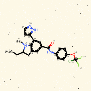 CNCC1Cc2cc(C(=O)Nc3ccc(OC(F)(F)Cl)cc3)cc(-c3ccn[nH]3)c2N1C(C)C